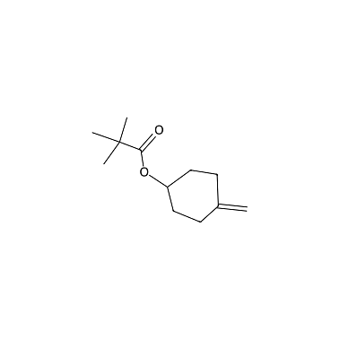 C=C1CCC(OC(=O)C(C)(C)C)CC1